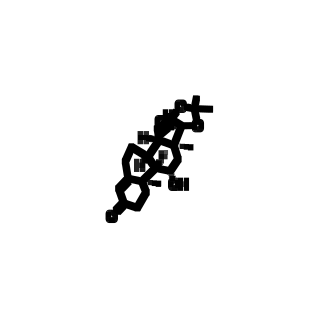 CC(=O)[C@@]12OC(C)(C)O[C@@H]1C[C@H]1[C@@H]3CCC4=CC(=O)CC[C@]4(C)[C@@]3(F)[C@@H](O)C[C@@]12C